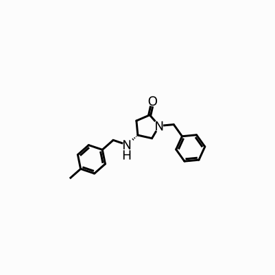 Cc1ccc(CN[C@@H]2CC(=O)N(Cc3ccccc3)C2)cc1